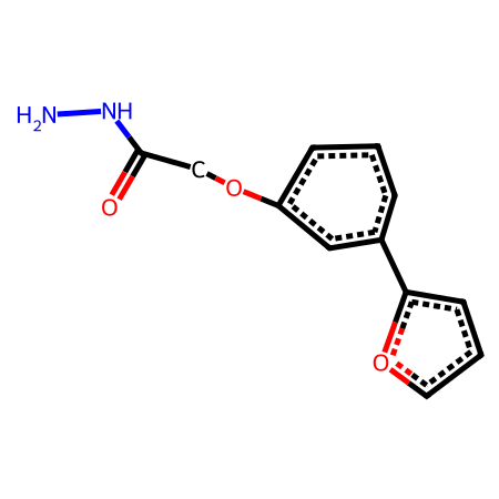 NNC(=O)COc1cccc(-c2ccco2)c1